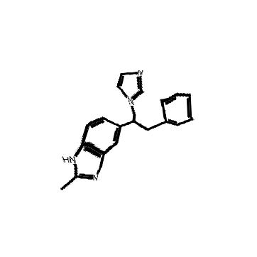 Cc1nc2cc(C(Cc3ccccc3)n3ccnc3)ccc2[nH]1